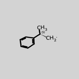 [CH2][C@@H](C)c1ccccc1